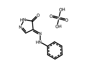 O=C1NN=CC1=NNc1ccccc1.O=S(=O)(O)O